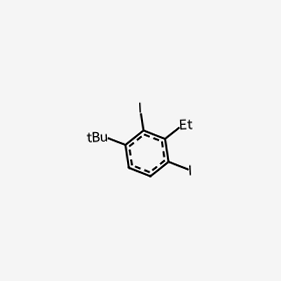 CCc1c(I)ccc(C(C)(C)C)c1I